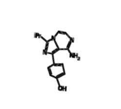 CC(C)c1nc(-c2ccc(O)cc2)c2c(N)nccn12